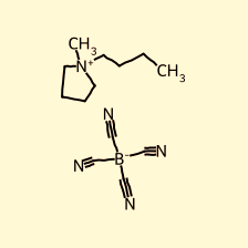 CCCC[N+]1(C)CCCC1.N#C[B-](C#N)(C#N)C#N